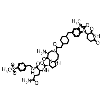 Cn1c(=O)n(C2CCC(=O)NC2=O)c2ccc(CC3CCC(CC(=O)N4CC[C@H]5CC[C@@H](C(=O)NC(CCC(N)=O)C(=O)NCc6ccc(S(C)(=O)=O)cc6)N5C(=O)[C@@H](N)C4)CC3)cc21